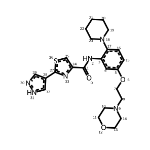 O=C(Nc1cc(OCCN2CCOCC2)ccc1N1CCCCC1)c1csc(-c2cn[nH]c2)n1